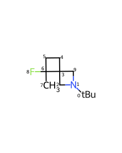 CC(C)(C)N1CC2(CCC2(C)F)C1